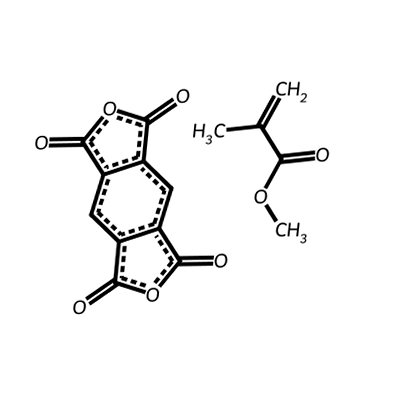 C=C(C)C(=O)OC.O=c1oc(=O)c2cc3c(=O)oc(=O)c3cc12